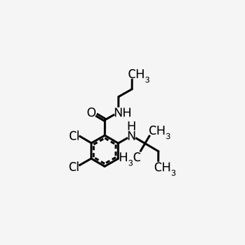 CCCNC(=O)c1c(NC(C)(C)CC)ccc(Cl)c1Cl